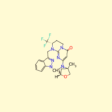 Cn1nc(CN2c3nc(N4C[C@@H]5CC4(C)CO5)cc(=O)n3CC[C@H]2C(F)(F)F)c2ccccc21